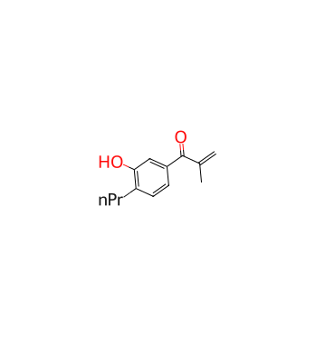 C=C(C)C(=O)c1ccc(CCC)c(O)c1